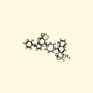 COc1c(C)cc2cccnc2c1N1CCCN(C(CC(C)=O)c2ccn(-c3ccccc3)n2)CC1